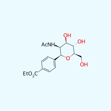 CCOC(=O)c1ccc([C@@H]2O[C@H](CO)[C@@H](O)[C@H](O)[C@@H]2NC(C)=O)cc1